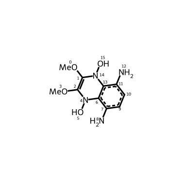 COC1=C(OC)N(O)c2c(N)ccc(N)c2N1O